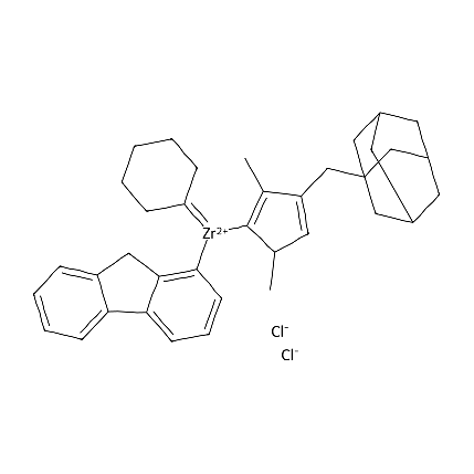 CC1=[C]([Zr+2](=[C]2CCCCC2)[c]2cccc3c2Cc2ccccc2-3)C(C)C=C1CC12CC3CC(CC(C3)C1)C2.[Cl-].[Cl-]